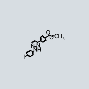 CCOC(=O)c1ccc(-c2ccnc(Nc3ccc(I)cc3)n2)cc1